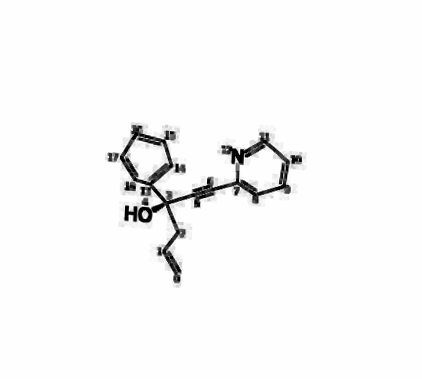 C=CC[C@@](O)(C#Cc1ccccn1)c1ccccc1